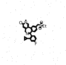 CCS(=O)(=O)Cc1ccc2c(c1)-c1cn(C)c(=O)cc1CN=C2c1ccc(F)cc1C1CC1